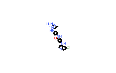 Cc1cc(Nc2ccc(NC(=O)c3ccc(Nc4ccnc5ccc(Cl)cc45)cc3)cc2)nc(N)n1